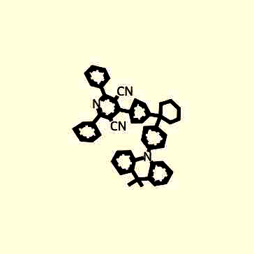 CC1(C)c2ccccc2N(c2ccc(C3(c4ccc(-c5c(C#N)c(-c6ccccc6)nc(-c6ccccc6)c5C#N)cc4)CCCCC3)cc2)c2ccccc21